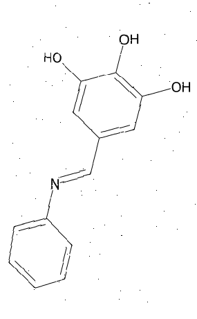 Oc1cc(C=Nc2ccccc2)cc(O)c1O